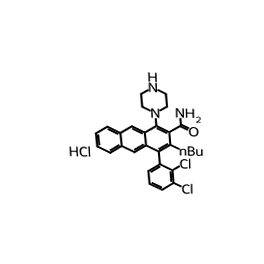 CCCCc1c(C(N)=O)c(N2CCNCC2)c2cc3ccccc3cc2c1-c1cccc(Cl)c1Cl.Cl